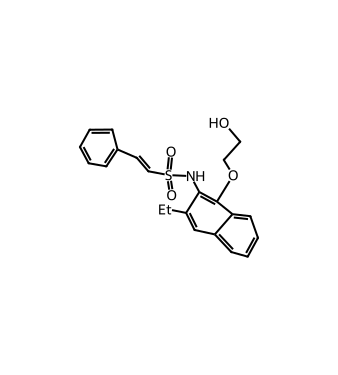 CCc1cc2ccccc2c(OCCO)c1NS(=O)(=O)C=Cc1ccccc1